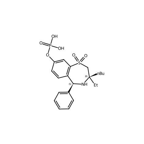 CCCC[C@]1(CC)CS(=O)(=O)c2cc(OP(=O)(O)O)ccc2[C@H](c2ccccc2)N1